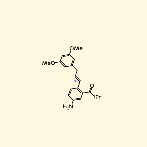 COc1cc(C/C=C/c2ccc(N)cc2C(=O)C(C)C)cc(OC)c1